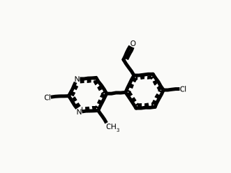 Cc1nc(Cl)ncc1-c1ccc(Cl)cc1C=O